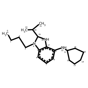 CCCCN1c2cccc(NC3CCCCC3)c2NC1C(C)C